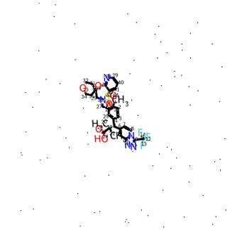 Cc1ccc([C@H](c2ccn3c(C(F)(F)F)nnc3c2)C(C)(C)C(=O)O)cc1CN1CC2(CCOCC2)Oc2ncccc2S1(=O)=O